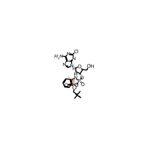 C[C@H](NP(=O)(Oc1ccccc1)O[C@@H]1C[C@H](n2cnc3c(N)nc(Cl)nc32)OC1CO)C(=O)OCC(C)(C)C